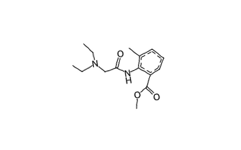 CCN(CC)CC(=O)Nc1c(C)cccc1C(=O)OC